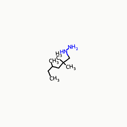 CCC(C)CC(C)(C)CNN